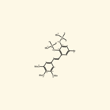 COc1cc(C=Cc2cc(Br)cc(O[Si](C)(C)C(C)(C)C)c2O[Si](C)(C)C(C)(C)C)cc(OC)c1OC